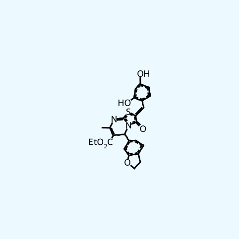 CCOC(=O)C1=C(C)N=c2s/c(=C\c3ccc(O)cc3O)c(=O)n2C1c1ccc2c(c1)OCC2